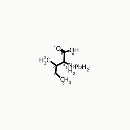 CCC(C)C(N)C(=O)O.[PbH2]